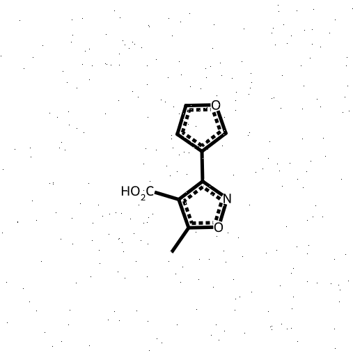 Cc1onc(-c2ccoc2)c1C(=O)O